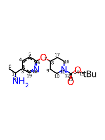 CC(N)c1ccc(OC2CCN(C(=O)OC(C)(C)C)CC2)nc1